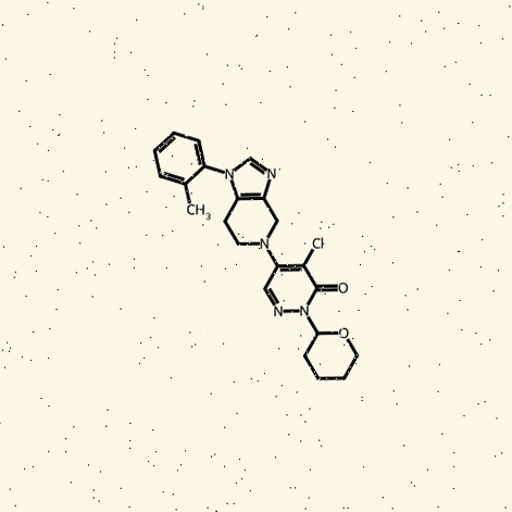 Cc1ccccc1-n1cnc2c1CCN(c1cnn(C3CCCCO3)c(=O)c1Cl)C2